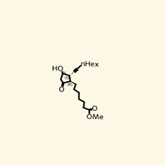 CCCCCCC#C[C@H]1[C@H](O)CC(=O)[C@@H]1CCCCCCC(=O)OC